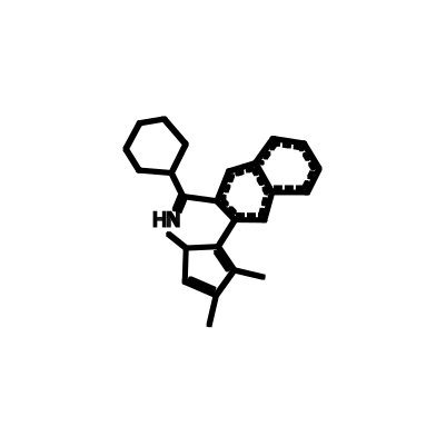 CC1=CC(C)C(c2cc3ccccc3cc2C(=N)C2CCCCC2)=C1C